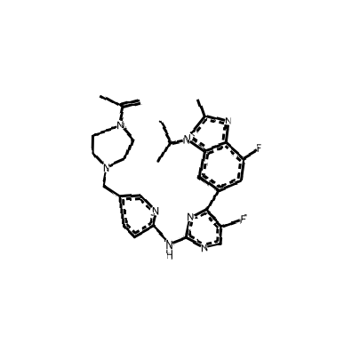 C=C(C)N1CCN(Cc2ccc(Nc3ncc(F)c(-c4cc(F)c5nc(C)n(C(C)C)c5c4)n3)nc2)CC1